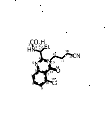 CCC(NC(=O)O)c1nc2cccc(Cl)c2c(=O)n1CCCC#N